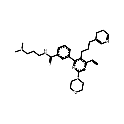 C=Cc1nc(N2CCOCC2)nc(-c2cccc(C(=O)NCCCN(C)C)c2)c1CCCC1=CN=CCC1